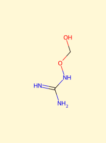 N=C(N)NOCO